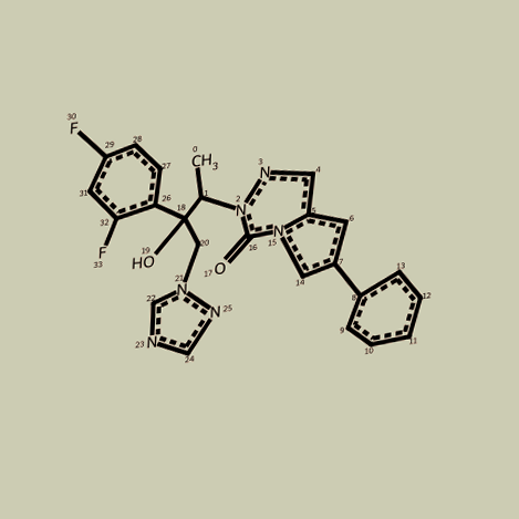 CC(n1ncc2cc(-c3ccccc3)cn2c1=O)C(O)(Cn1cncn1)c1ccc(F)cc1F